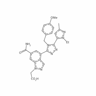 CCn1nc(C)cc1-c1nnc(-c2cc(C(N)=O)cc3c2cnn3CC(=O)O)n1Cc1ccc(OC)cc1